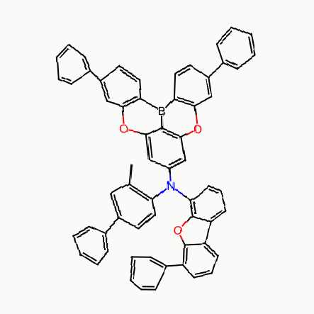 Cc1cc(-c2ccccc2)ccc1N(c1cc2c3c(c1)Oc1cc(-c4ccccc4)ccc1B3c1ccc(-c3ccccc3)cc1O2)c1cccc2c1oc1c(-c3ccccc3)cccc12